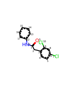 O=C(Cc1ccc(Cl)cc1Cl)Nc1ccccc1